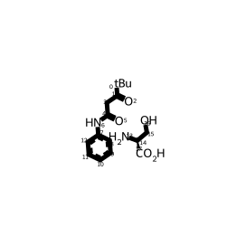 CC(C)(C)C(=O)CC(=O)Nc1ccccc1.N[C@@H](CO)C(=O)O